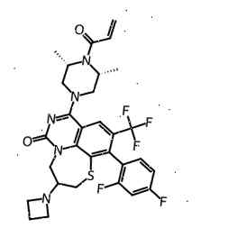 C=CC(=O)N1[C@H](C)CN(c2nc(=O)n3c4c(c(-c5ccc(F)cc5F)c(C(F)(F)F)cc24)SCC(N2CCC2)C3)C[C@@H]1C